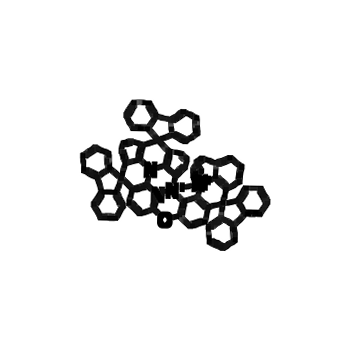 c1ccc2c(c1)-c1ccccc1C21c2cccc3c2N2c4c1cccc4[N+]14c5c(ccc6c5-n5c7c(cccc7c7ccc[n+]1c75)C61c5ccccc5-c5ccccc51)Oc1ccc(c2[n+]14)C31c2ccccc2-c2ccccc21